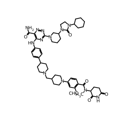 CN(C(=O)c1ccc(N2CCC(CN3CCC(c4ccc(Nc5nc(N6CCCC(N7CCN(C8CCCCC8)C7=O)C6)nnc5C(N)=O)cc4)CC3)CC2)cc1C=O)C1CCC(=O)NC1=O